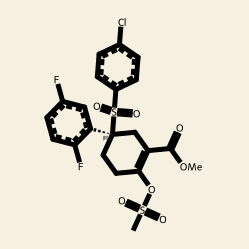 COC(=O)C1=C(OS(C)(=O)=O)CC[C@@](c2cc(F)ccc2F)(S(=O)(=O)c2ccc(Cl)cc2)C1